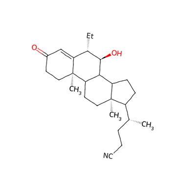 CC[C@H]1C2=CC(=O)CC[C@]2(C)C2CC[C@@]3(C)C(CCC3[C@H](C)CCC#N)C2[C@@H]1O